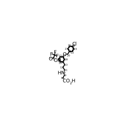 O=C(O)C(F)(F)F.O=C(O)CCNCCCc1cccc(OCc2ccc(Cl)cc2)c1